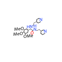 COc1cc(C(NCCc2ccncc2)C(=O)NCCc2cccnc2)cc(OC)c1OC